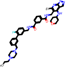 CCc1nc2c(cnn2CC)c(NC2CCOCC2)c1CNC(=O)c1cccc(C(=O)NCc2ccc(F)c(-c3cccc(CN4CCN(CCOC)CC4)c3)c2)c1